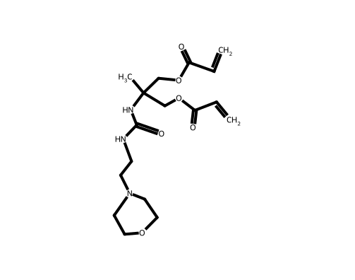 C=CC(=O)OCC(C)(COC(=O)C=C)NC(=O)NCCN1CCOCC1